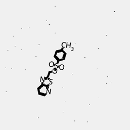 Cc1ccc(S(=O)(=O)OCc2nc3cccnc3s2)cc1